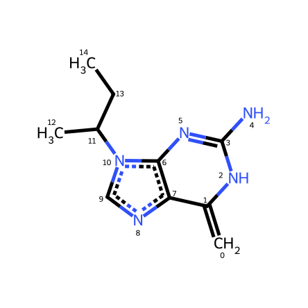 C=C1NC(N)=Nc2c1ncn2C(C)CC